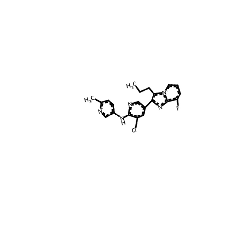 CCCc1c(-c2cnc(Nc3ccc(C)nc3)c(Cl)c2)nc2c(F)cccn12